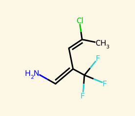 C/C(Cl)=C\C(=C/N)C(F)(F)F